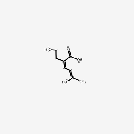 CCCC(=CC=C(C)C)C(=O)O